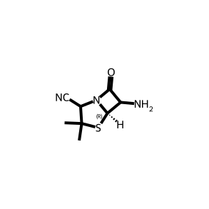 CC1(C)S[C@@H]2C(N)C(=O)N2C1C#N